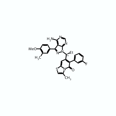 CC[C@@H](c1cc2scc(C)n2c(=O)c1-c1cccc(F)c1)n1nc(-c2ccc(OC)c(C)c2)c2c(N)ncnc21